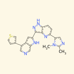 Cc1ncc(-c2ccc3[nH]nc(-c4cc5c(-c6ccsc6)cncc5[nH]4)c3n2)n1C